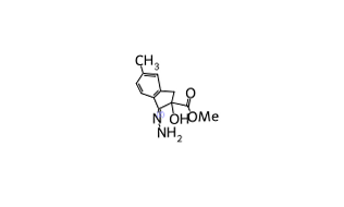 COC(=O)C1(O)Cc2cc(C)ccc2/C1=N/N